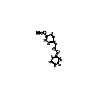 COc1ccc(CSSc2ccccn2)cc1